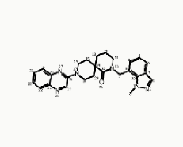 Cn1ncc2cccc(CN3CCCC4(CCN(c5cnc6ccccc6n5)CC4)C3=O)c21